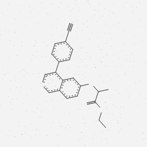 CCOC(=O)C(C)Oc1ccc2cncc(-c3ccc(C#N)cc3)c2c1